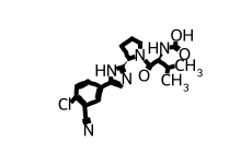 CC(C)[C@H](NC(=O)O)C(=O)N1CCC[C@H]1c1ncc(-c2ccc(Cl)c(C#N)c2)[nH]1